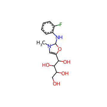 CN1C=C(C(O)C(O)C(O)CO)OC1Nc1ccccc1F